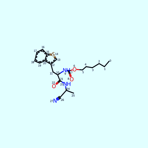 CCCCCCOC(=O)NC(Cc1csc2ccccc12)C(=O)NC(C)C#N